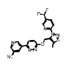 Cc1nnn(-c2ccc(C(F)F)cn2)c1COc1ccc(-c2cncc(C#N)c2)nn1